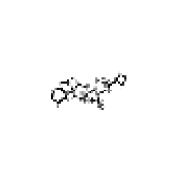 CN(C)C1(c2ccccc2)CCC2(CC1)CN(CC(O)=C1CCC1)C(=O)N2